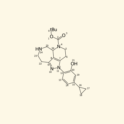 CC(C)(C)OC(=O)N1CCc2c3c(nn2-c2ccc(C4CC4)cc2O)CCNCC31